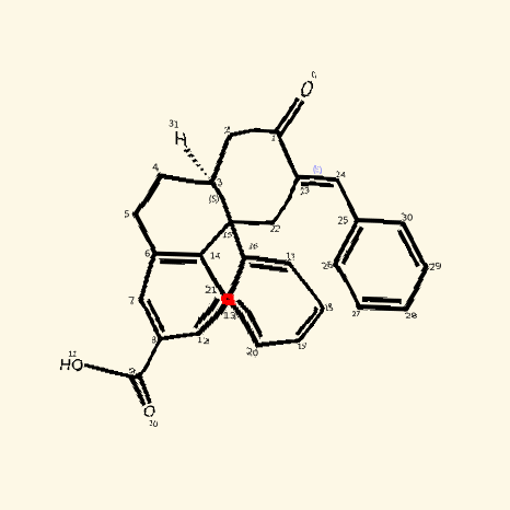 O=C1C[C@@H]2CCc3cc(C(=O)O)ccc3C2(c2ccccc2)C/C1=C\c1ccccc1